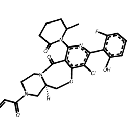 C=CC(=O)N1CCN2C(=O)c3c(N4C(=O)CCCC4C)nc(-c4c(O)cccc4F)c(Cl)c3OC[C@H]2C1